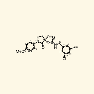 COc1ccc(N2CCC(O)(OC(=O)NCc3cc(F)cc(Cl)c3)C2=O)cn1